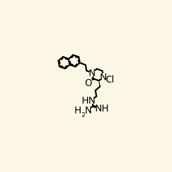 N=C(N)NCCC[C@H]1C(=O)N(CCc2ccc3ccccc3c2)CCN1Cl